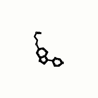 COCCOc1ccn2c(-c3ccncn3)cnc2c1